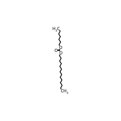 CCCCCCCCCCCCCCOC(=O)OCCCCCCC